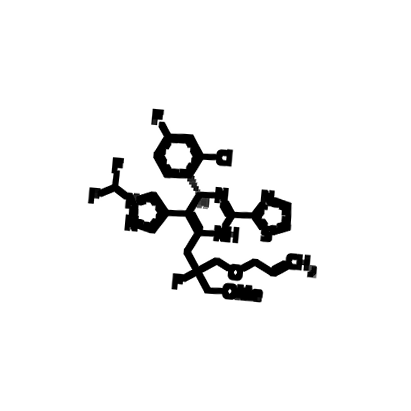 C=CCOCC(F)(COC)CC1=C(c2cnn(C(F)F)c2)[C@H](c2ccc(F)cc2Cl)N=C(c2nccs2)N1